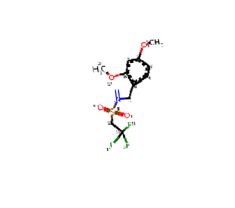 COc1ccc(CNS(=O)(=O)CC(F)(F)F)c(OC)c1